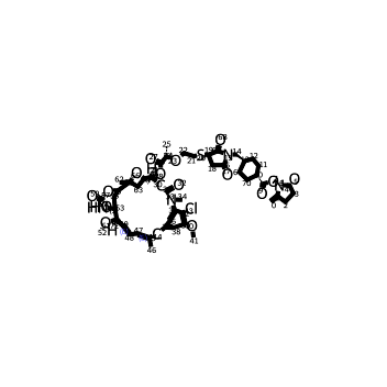 C=C1CCC(=O)N1OC(=O)[C@H]1CC[C@H](CN2C(=O)CC(SCCO[C@@H](C)C(=O)O[C@H]3CC(=O)N(C)c4cc(cc(OC)c4Cl)C/C(C)=C/C=C/[C@@H](OC)[C@@]4(O)CC(OC(=O)N4)C4(C)C[C@@]3(C)O4)C2=O)CC1